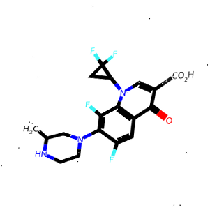 CC1CN(c2c(F)cc3c(=O)c(C(=O)O)cn(C4CC4(F)F)c3c2F)CCN1